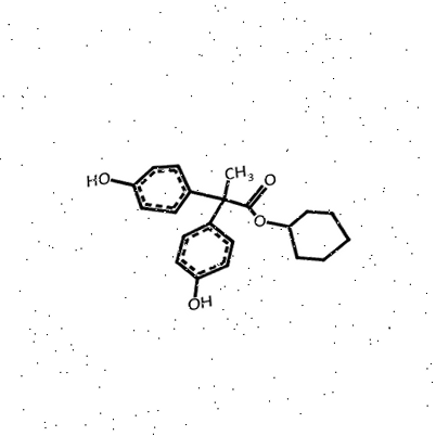 CC(C(=O)OC1CCCCC1)(c1ccc(O)cc1)c1ccc(O)cc1